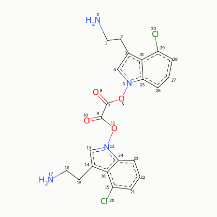 NCCc1cn(OC(=O)C(=O)On2cc(CCN)c3c(Cl)cccc32)c2cccc(Cl)c12